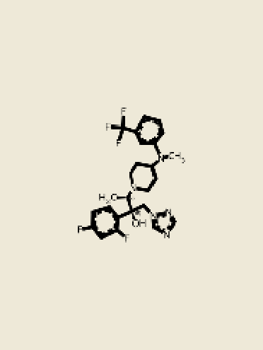 C[C@@H](N1CCC(N(C)c2cccc(C(F)(F)F)c2)CC1)[C@](O)(Cn1cncn1)c1ccc(F)cc1F